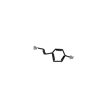 Br/C=C/c1ccc(Br)cc1